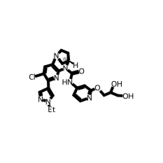 CCn1cc(-c2nc3c(cc2Cl)N2CC[C@@H](C2)N3C(=O)Nc2ccnc(OCC(O)CO)c2)cn1